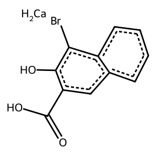 O=C(O)c1cc2ccccc2c(Br)c1O.[CaH2]